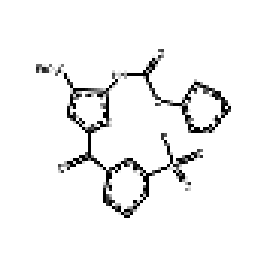 CCOC(=O)c1cc(C(=O)c2cccc(S(=O)(=O)F)c2)sc1NC(=O)Oc1ccccc1